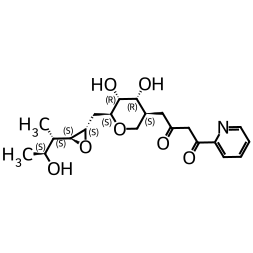 C[C@H]([C@@H]1O[C@H]1C[C@@H]1OC[C@H](CC(=O)CC(=O)c2ccccn2)[C@@H](O)[C@H]1O)[C@H](C)O